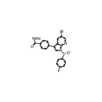 CNC(=O)c1ccc(-c2cn([S+]([O-])c3ccc(C)cc3)c3ncc(Br)cc23)cc1